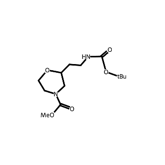 COC(=O)N1CCOC(CCNC(=O)OC(C)(C)C)C1